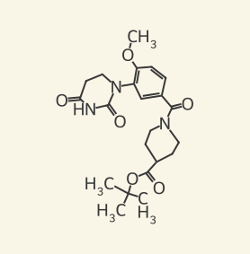 COc1ccc(C(=O)N2CCC(C(=O)OC(C)(C)C)CC2)cc1N1CCC(=O)NC1=O